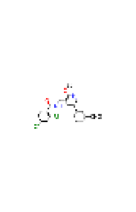 CCOc1ncc(-c2cccc(C=O)c2)cc1CNC(=O)c1ccc(Cl)cc1Cl